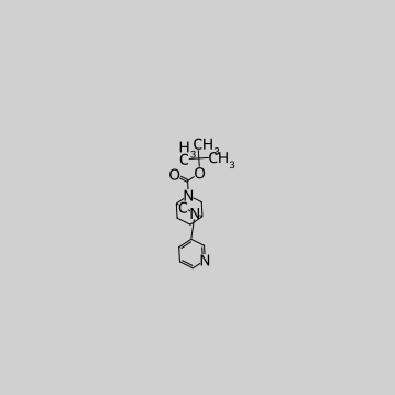 CC(C)(C)OC(=O)N1CC2CCC1CN2c1cccnc1